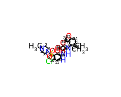 CN1CCN(S(=O)(=O)c2c(Cl)ccc(Nc3c(NC4c5ccoc5CCC4(C)C)c(=O)c3=O)c2O)CC1